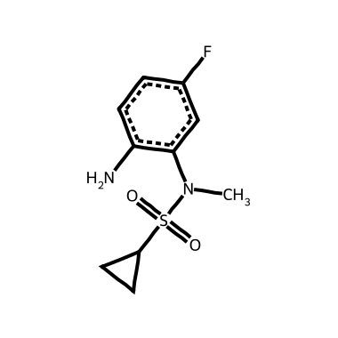 CN(c1cc(F)ccc1N)S(=O)(=O)C1CC1